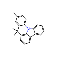 Cc1ccc2c(c1)C(C)(C)c1cccc3c4ccccc4n-2c13